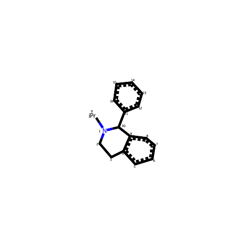 CC(C)N1CCc2ccccc2C1c1ccccc1